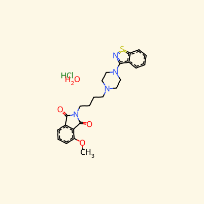 COc1cccc2c1C(=O)N(CCCCN1CCN(c3nsc4ccccc34)CC1)C2=O.Cl.O